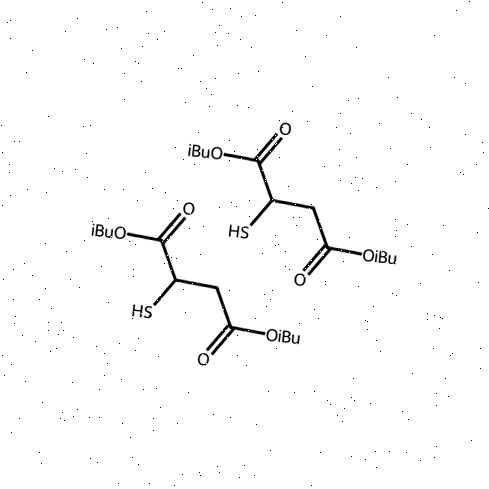 CC(C)COC(=O)CC(S)C(=O)OCC(C)C.CC(C)COC(=O)CC(S)C(=O)OCC(C)C